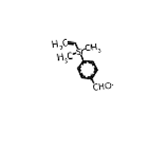 C=C[Si](C)(C)c1ccc([C]=O)cc1